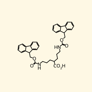 O=C(NCCCC(CCCNC(=O)OCC1c2ccccc2-c2ccccc21)C(=O)O)OCC1c2ccccc2-c2ccccc21